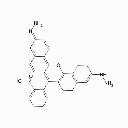 N/N=c1\ccc2c(ccc3c(-c4ccccc4C(=O)O)c4ccc5cc(NN)ccc5c4oc32)c1